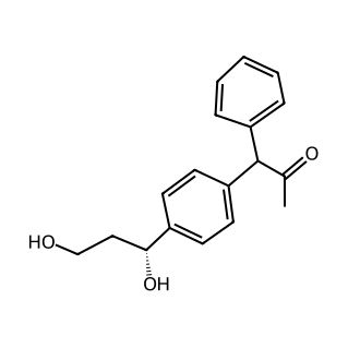 CC(=O)C(c1ccccc1)c1ccc([C@H](O)CCO)cc1